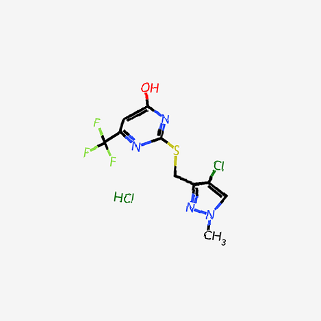 Cl.Cn1cc(Cl)c(CSc2nc(O)cc(C(F)(F)F)n2)n1